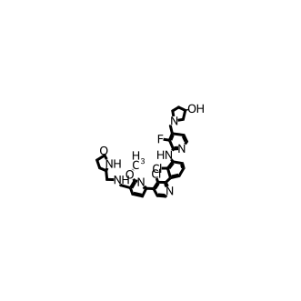 COc1nc(-c2ccnc(-c3cccc(Nc4nccc(CN5CC[C@H](O)C5)c4F)c3Cl)c2Cl)ccc1CNCC1CCC(=O)N1